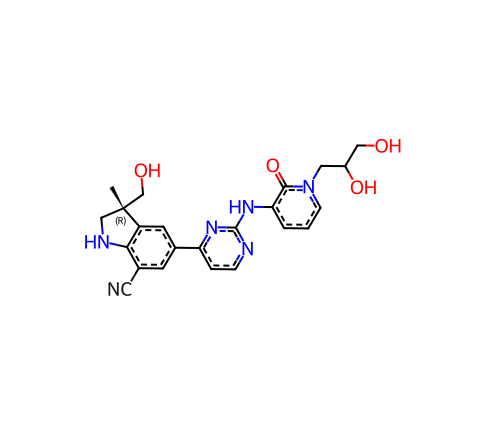 C[C@]1(CO)CNc2c(C#N)cc(-c3ccnc(Nc4cccn(CC(O)CO)c4=O)n3)cc21